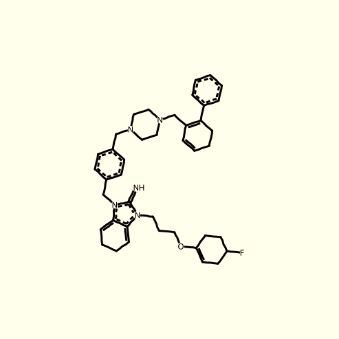 N=c1n(CCCOC2=CCC(F)CC2)c2c(n1Cc1ccc(CN3CCN(CC4=C(c5ccccc5)CCC=C4)CC3)cc1)=CCCC=2